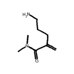 C=C(CCCN)C(=O)N(C)C